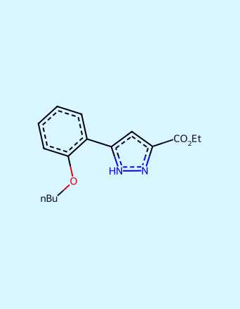 CCCCOc1ccccc1-c1cc(C(=O)OCC)n[nH]1